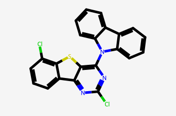 Clc1nc(-n2c3ccccc3c3ccccc32)c2sc3c(Cl)cccc3c2n1